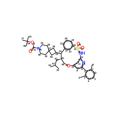 Cc1cccc(C)c1-c1cc2cc(n1)NS(=O)(=O)c1cccc(c1)C(C1CC3(CCN(C(=O)OC(C)(C)C)CC3)C1)[C@H](CC(C)C)CO2